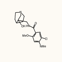 CNc1cc(OC)c(C(=O)NCC2(O)CN3CCC2CC3)cc1Cl